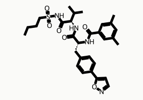 CCCCS(=O)(=O)NC(=O)[C@@H](NC(=O)[C@@H](Cc1ccc(-c2ccno2)cc1)NC(=O)c1cc(C)cc(C)c1)C(C)C